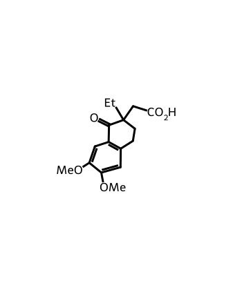 CCC1(CC(=O)O)CCc2cc(OC)c(OC)cc2C1=O